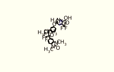 C=C(/C=C(\C(=C/N)C(=O)O)C(F)(F)F)Oc1ccc(O[C@](c2ccc3c(c2)n(C)c(=O)n3C)(C(C)C)C(F)(F)F)c(Cl)c1